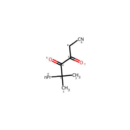 CCCC(C)(C)C(=O)C(=O)CC#N